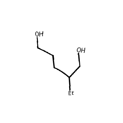 CCC(CO)CCCO